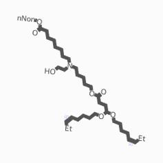 CC/C=C\CCCCOC(CCC(=O)OCCCCCN(CCO)CCCCCCCC(=O)OCCCCCCCCC)OCCCC/C=C\CC